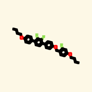 CCCCOc1ccc(-c2ccc(-c3ccc(OCc4ccc(OCCCC)cc4F)cc3)c(F)c2F)cc1